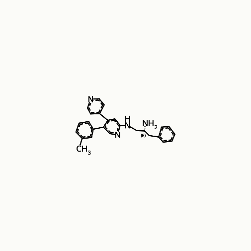 Cc1cccc(-c2cnc(NC[C@H](N)Cc3ccccc3)cc2-c2ccncc2)c1